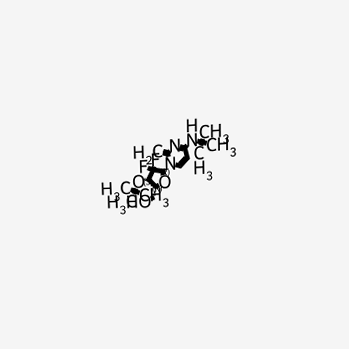 C=C1N=C(NC(C)(C)C)C=CN1[C@@H]1O[C@H](CO)[C@H](OC(C)(C)C)C1(F)F